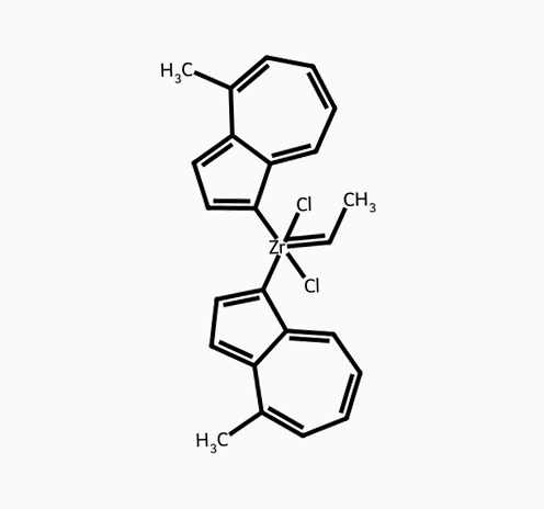 C[CH]=[Zr]([Cl])([Cl])([c]1ccc2c(C)ccccc1-2)[c]1ccc2c(C)ccccc1-2